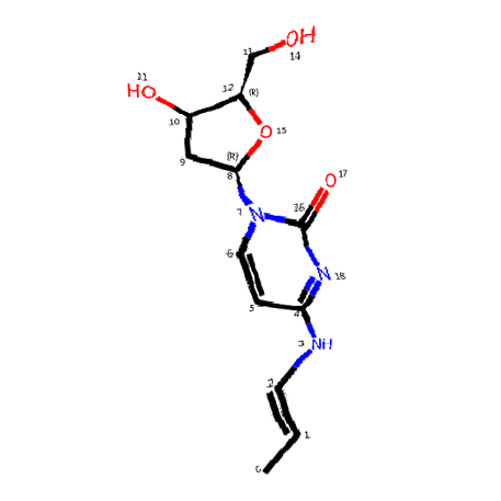 CC=CNc1ccn([C@H]2CC(O)[C@@H](CO)O2)c(=O)n1